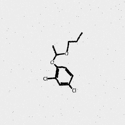 CCCOC(C)Oc1ccc(Cl)cc1Cl